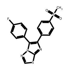 CS(=O)(=O)c1ccc(-c2nc3scnn3c2-c2ccc(F)cc2)cc1